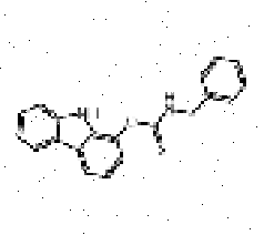 S=C(NCc1ccccc1)Oc1cccc2c1[nH]c1ccccc12